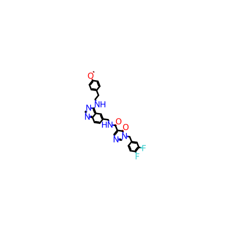 COc1ccc(CCNc2ncnc3ccc(CNC(=O)c4cncn(Cc5ccc(F)c(F)c5)c4=O)cc23)cc1